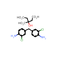 Nc1ccc(Cc2ccc(N)c(Cl)c2)cc1Cl.O=C(O)CC(O)(CC(=O)O)C(=O)O